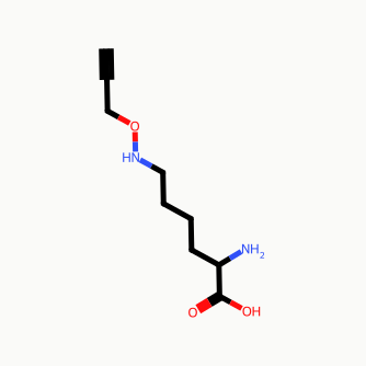 C#CCONCCCCC(N)C(=O)O